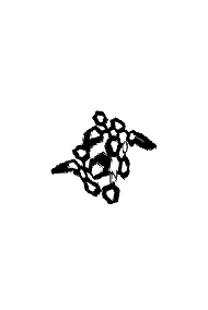 c1ccc(-c2cccc3c2-c2c(ccc4c2oc2cccc(N(c5ccccc5)c5cccc(C6(c7ccccc7)c7ccccc7-c7ccccc76)c5)c24)C3(c2ccccc2)c2ccccc2)cc1